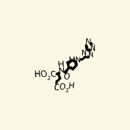 O=C(O)CCC(NC(=O)c1ccc(NCc2cnc3ncncc3n2)cc1)C(=O)O